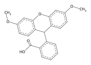 COc1ccc2c(c1)Oc1cc(OC)ccc1C2c1ccccc1C(=O)O